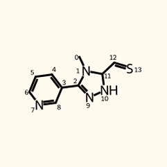 CN1C(c2cccnc2)=NNC1C=S